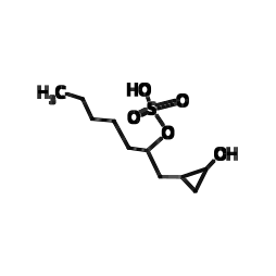 CCCCCC(CC1CC1O)OS(=O)(=O)O